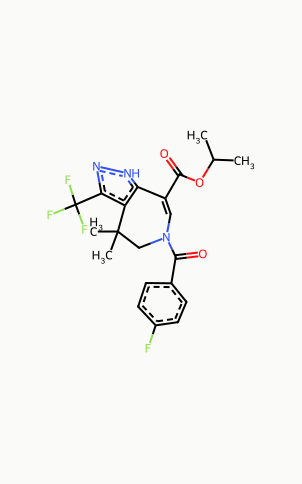 CC(C)OC(=O)C1=CN(C(=O)c2ccc(F)cc2)CC(C)(C)c2c(C(F)(F)F)n[nH]c21